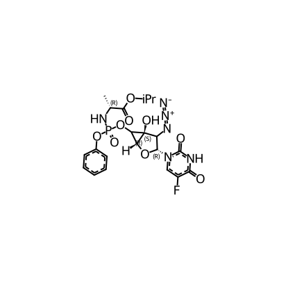 CC(C)OC(=O)[C@@H](C)NP(=O)(Oc1ccccc1)OC1[C@H]2O[C@@H](n3cc(F)c(=O)[nH]c3=O)C(N=[N+]=[N-])[C@@]12O